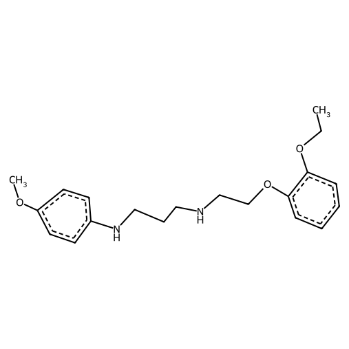 CCOc1ccccc1OCCNCCCNc1ccc(OC)cc1